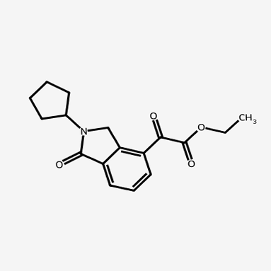 CCOC(=O)C(=O)c1cccc2c1CN(C1CCCC1)C2=O